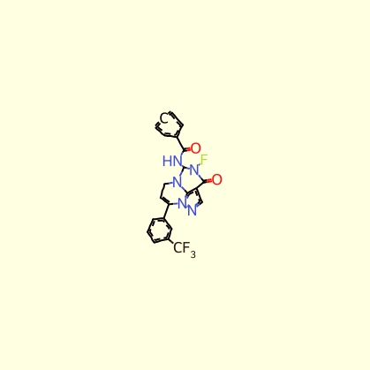 O=C(NC1N(F)C(=O)c2cnn3c2N1CC=C3c1cccc(C(F)(F)F)c1)c1ccccc1